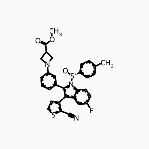 COC(=O)C1CN(c2cccc(-c3c(-c4ccsc4C#N)c4cc(F)ccc4n3[S+]([O-])c3ccc(C)cc3)c2)C1